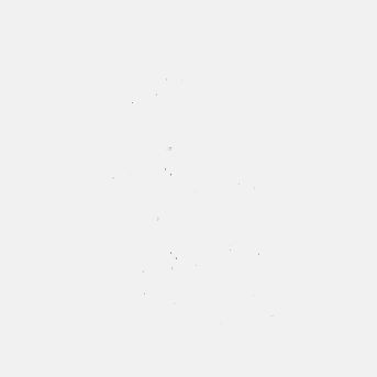 CCC(=Cc1oc2ccc(OC)c(CC)c2[n+]1O)C=C1Oc2ccc(OC)cc2N1O.[Cl-]